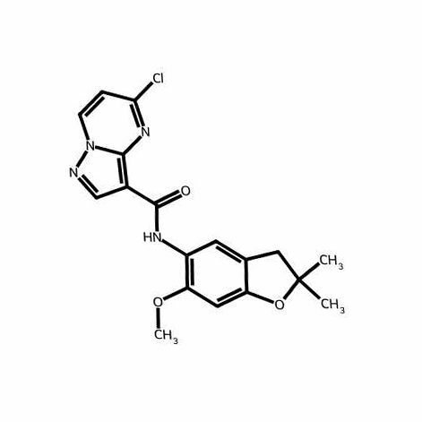 COc1cc2c(cc1NC(=O)c1cnn3ccc(Cl)nc13)CC(C)(C)O2